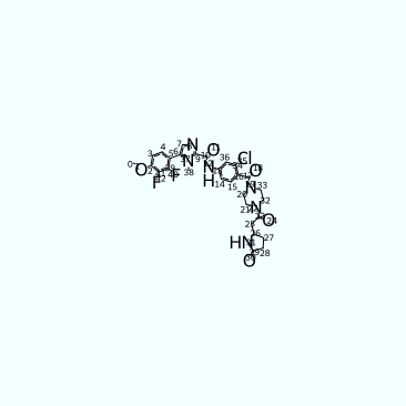 COc1ccc(-c2cnc(C(=O)Nc3ccc(C(=O)N4CCN(C(=O)CC5CCC(=O)N5)CC4)c(Cl)c3)n2C)c(F)c1F